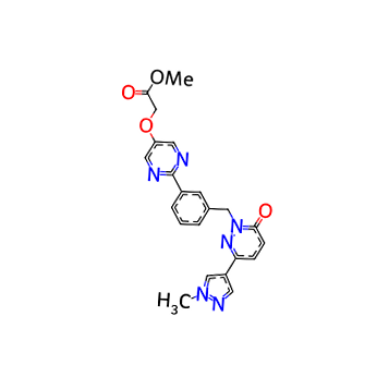 COC(=O)COc1cnc(-c2cccc(Cn3nc(-c4cnn(C)c4)ccc3=O)c2)nc1